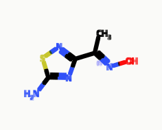 C/C(=N\O)c1nsc(N)n1